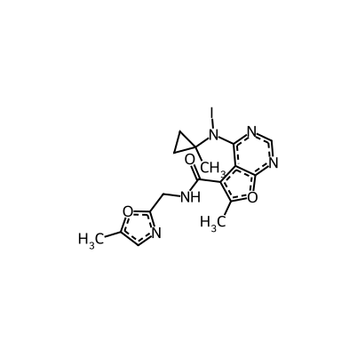 Cc1cnc(CNC(=O)c2c(C)oc3ncnc(N(I)C4(C)CC4)c23)o1